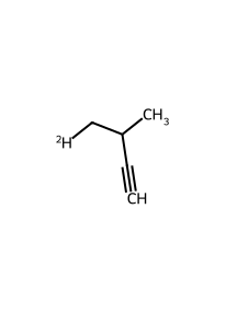 [2H]CC(C)C#C